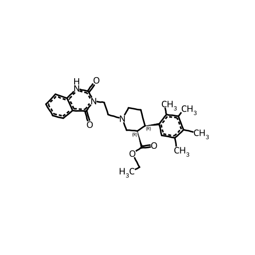 CCOC(=O)[C@H]1CN(CCn2c(=O)[nH]c3ccccc3c2=O)CC[C@H]1c1cc(C)c(C)c(C)c1C